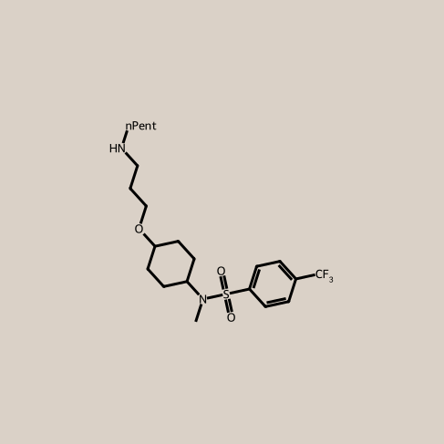 CCCCCNCCCOC1CCC(N(C)S(=O)(=O)c2ccc(C(F)(F)F)cc2)CC1